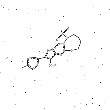 CCOC(=O)c1c(-c2ccc(F)cc2)nn2cc3c(cc12)CCCCCN3S(C)(=O)=O